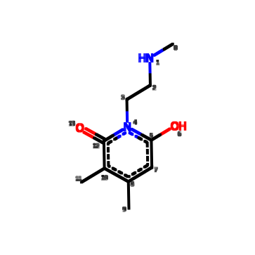 CNCCn1c(O)cc(C)c(C)c1=O